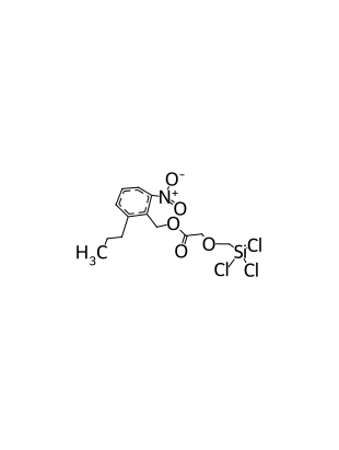 CCCc1cccc([N+](=O)[O-])c1COC(=O)COC[Si](Cl)(Cl)Cl